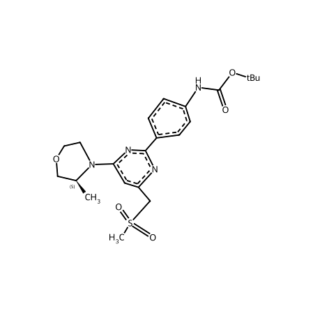 C[C@H]1COCCN1c1cc(CS(C)(=O)=O)nc(-c2ccc(NC(=O)OC(C)(C)C)cc2)n1